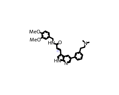 COc1ccc(CNC(=O)/C=C/c2c[nH]c3ncc(-c4cccc(CCN(C)C)c4)cc23)cc1OC